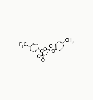 Cc1ccc(OS(=O)(=O)CS(=O)(=O)Oc2ccc(C(F)(F)F)cc2)cc1